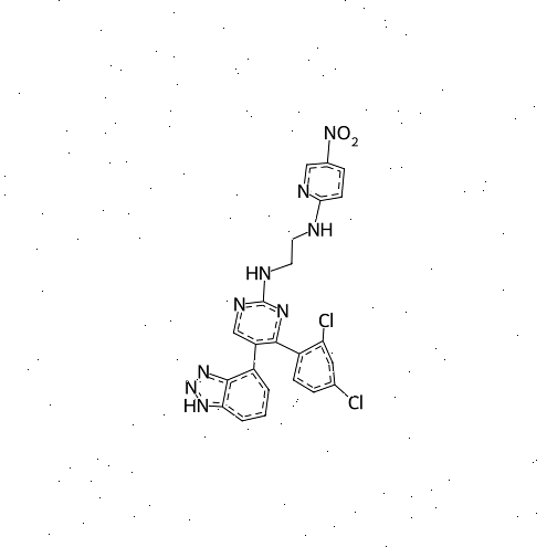 O=[N+]([O-])c1ccc(NCCNc2ncc(-c3cccc4[nH]nnc34)c(-c3ccc(Cl)cc3Cl)n2)nc1